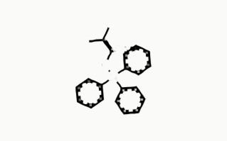 COC(O[Si](c1ccccc1)(c1ccccc1)c1ccccc1)=C(C)C